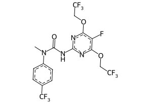 CN(C(=O)Nc1nc(OCC(F)(F)F)c(F)c(OCC(F)(F)F)n1)c1ccc(C(F)(F)F)cc1